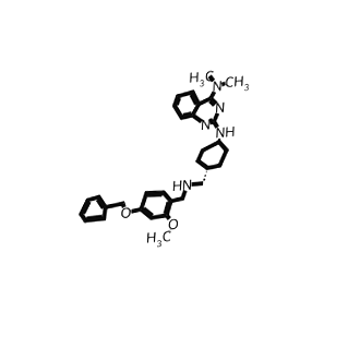 COc1cc(OCc2ccccc2)ccc1CNC[C@H]1CC[C@@H](Nc2nc(N(C)C)c3ccccc3n2)CC1